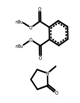 CCCCOC(=O)c1ccccc1C(=O)OCCCC.CN1CCCC1=O